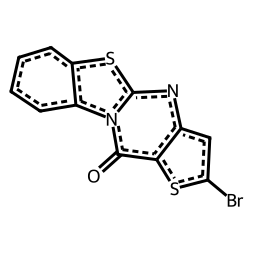 O=c1c2sc(Br)cc2nc2sc3ccccc3n12